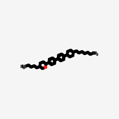 CCCCCCCC1CCC(c2ccc(-c3ccc(C4CCC(CCCCC)CO4)cc3)cc2)CC1